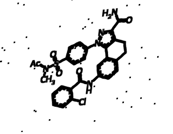 CC(=O)N(C)S(=O)(=O)c1ccc(-n2nc(C(N)=O)c3c2-c2cc(NC(=O)c4ccccc4Cl)ccc2CC3)cc1